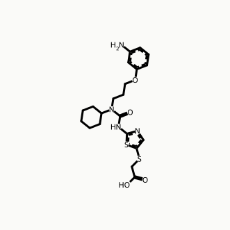 Nc1cccc(OCCCN(C(=O)Nc2ncc(SCC(=O)O)s2)C2CCCCC2)c1